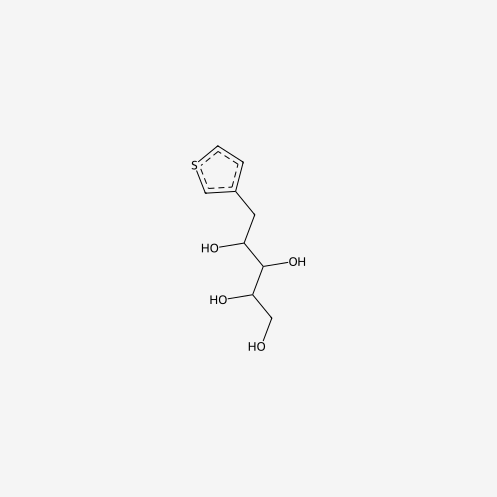 OCC(O)C(O)C(O)Cc1ccsc1